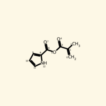 C=C(C)C(=O)OC(=O)c1ccc[nH]1